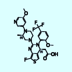 COc1cncc(N2CCN(C3=Nc4c(csc4F)[C@H](CC(=O)O)N3c3cc(C(F)(F)F)ccc3OC)C[C@H]2C)c1